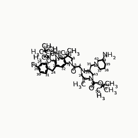 C[C@@H]1CN(CC(=O)N2CC(C)(C)c3nc(O[Si](C)(C)C(C)(C)C)c(Cc4ccc(F)cc4)cc32)[C@@H](CN2CCC[C@H](N)C2)CN1C(=O)OC(C)(C)C